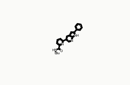 CC(C)(C)NC(=O)c1cccc(-c2cnc3[nH]c(-c4ccccc4)cc3c2)n1